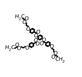 C=CC(=O)OCCCOc1ccc(C(=O)Oc2ccc(OC(=O)c3ccc(OCCCOC(=O)C=C)cc3)c(OC(=O)c3ccc(OCCCOC(=O)C=C)cc3)c2)cc1